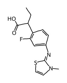 CCC(C(=O)O)c1ccc(/N=c2\sccn2C)cc1F